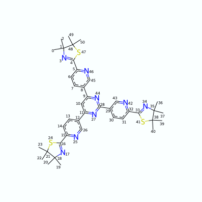 CC1(C)N=C(c2ccc(-c3cc(-c4ccc(C5=NC(C)(C)C(C)(C)S5)nc4)nc(-c4ccc(C5=NC(C)(C)C(C)(C)S5)nc4)n3)cn2)SC1(C)C